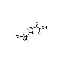 O=C(O)C(=O)c1csc(NS(=O)(=O)C2CC2)n1